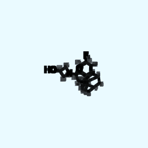 CC1(C)C2CC3CC1CC(C2)C3(CC(=O)N1CC(O)C1)c1ccc(F)cc1